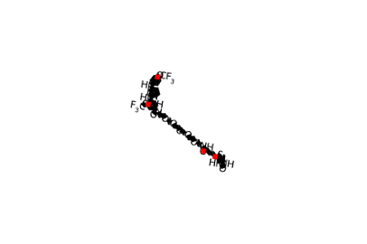 O=C(CCCCC1SCC2NC(=O)NC21)NCCOCCOCCOCCOCCOCCNC(=O)c1ccc(Nc2nccc(Nc3ccc(OC(F)(F)F)cc3)n2)c(OC(F)(F)F)c1